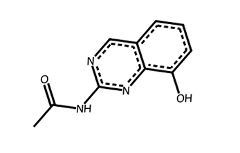 CC(=O)Nc1ncc2cccc(O)c2n1